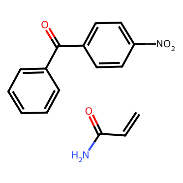 C=CC(N)=O.O=C(c1ccccc1)c1ccc([N+](=O)[O-])cc1